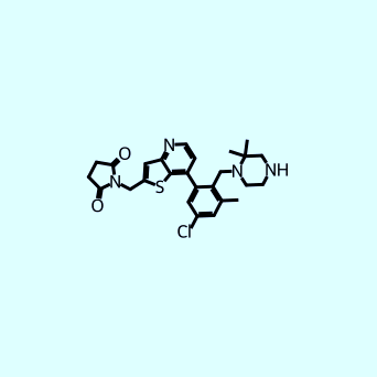 Cc1cc(Cl)cc(-c2ccnc3cc(CN4C(=O)CCC4=O)sc23)c1CN1CCNCC1(C)C